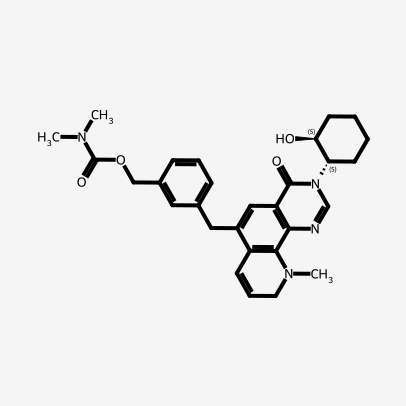 CN(C)C(=O)OCc1cccc(Cc2cc3c(=O)n([C@H]4CCCC[C@@H]4O)cnc3c3c2C=CCN3C)c1